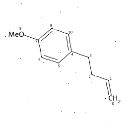 C=CCCc1ccc(OC)cc1